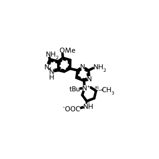 COc1cc(-c2cc([N+]3(C(C)(C)C)C[C@H](C)C[C@@H](NC(=O)[O-])C3)nc(N)n2)cc2[nH]nc(N)c12